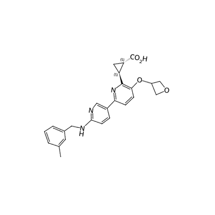 Cc1cccc(CNc2ccc(-c3ccc(OC4COC4)c([C@H]4C[C@@H]4C(=O)O)n3)cn2)c1